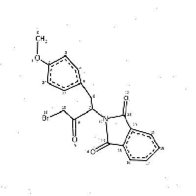 COc1ccc(CC(C(=O)CBr)N2C(=O)c3ccccc3C2=O)cc1